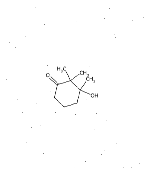 CC1(O)CCCC(=O)C1(C)C